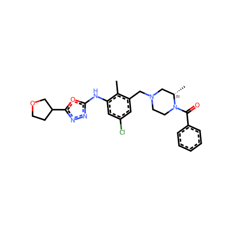 Cc1c(CN2CCN(C(=O)c3ccccc3)[C@@H](C)C2)cc(Cl)cc1Nc1nnc(C2CCOC2)o1